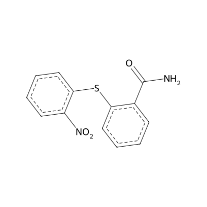 NC(=O)c1ccccc1Sc1ccccc1[N+](=O)[O-]